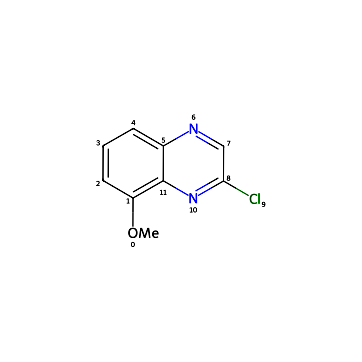 COc1cccc2ncc(Cl)nc12